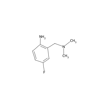 CN(C)Cc1cc(F)ccc1N